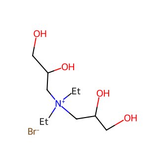 CC[N+](CC)(CC(O)CO)CC(O)CO.[Br-]